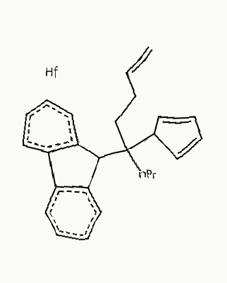 C=CCCC(CCC)(C1C=CC=C1)C1c2ccccc2-c2ccccc21.[Hf]